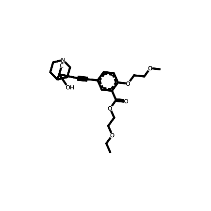 CCOCCOC(=O)c1cc(C#CC2(O)CN3CCC2CC3)ccc1OCCOC